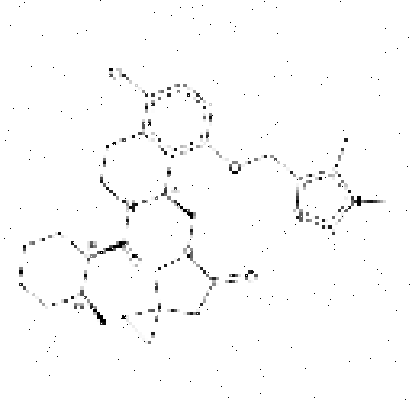 Cc1c(COc2ccc(Cl)c3c2[C@@H](CN2CC4(CC4)CC2=O)N(C(=O)[C@@H]2CCCC[C@@H]2C)CC3)nnn1C